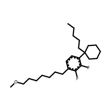 CCCCCC1(c2ccc(CCCCCCCOC)c(F)c2F)CCCCC1